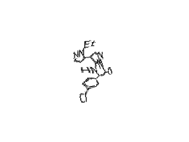 CCn1nccc1-c1cnn2c(=O)cc(-c3ccc(Cl)cc3)[nH]c12